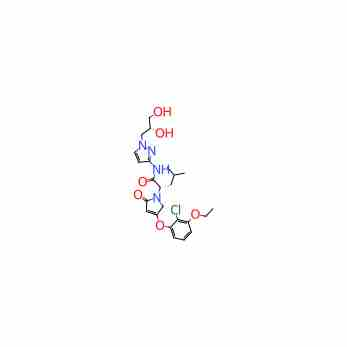 CCOc1cccc(OC2=CC(=O)N([C@@H](CC(C)C)C(=O)Nc3ccn(C[C@@H](O)CO)n3)C2)c1Cl